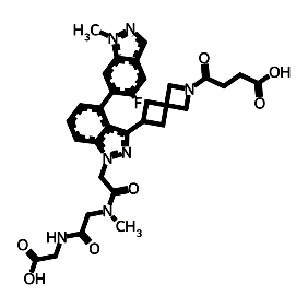 CN(CC(=O)NCC(=O)O)C(=O)Cn1nc(C2CC3(C2)CN(C(=O)CCC(=O)O)C3)c2c(-c3cc4c(cnn4C)cc3F)cccc21